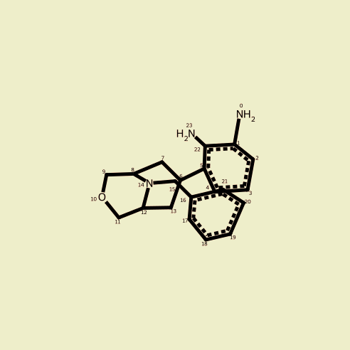 Nc1cccc(C2CC3COCC(C2)N3Cc2ccccc2)c1N